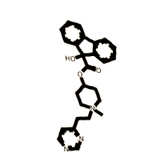 C[N+]1(CCc2ccncn2)CCC(OC(=O)C2(O)c3ccccc3-c3ccccc32)CC1